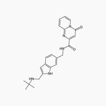 CC(C)(C)NCc1cc2ccc(CNC(=O)c3cc(=O)n4ccccc4n3)cc2[nH]1